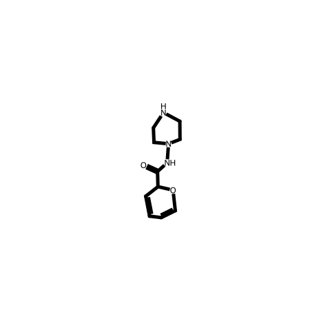 O=C(NN1CCNCC1)C1C=CC=CO1